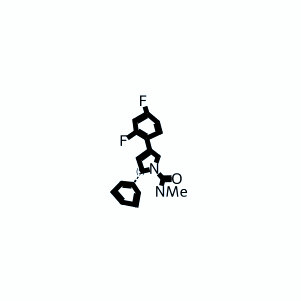 CNC(=O)N1CC(c2ccc(F)cc2F)=C[C@H]1c1ccccc1